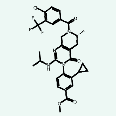 COC(=O)c1ccc(-n2c(NC(C)C)nc3c(c2=O)C[C@@H](C)N(C(=O)c2ccc(Cl)c(C(F)(F)F)c2)C3)c(C2CC2)c1